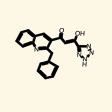 O=C(C=C(O)c1nn[nH]n1)c1cc2ccccc2nc1Cc1ccccc1